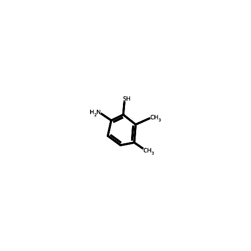 Cc1ccc(N)c(S)c1C